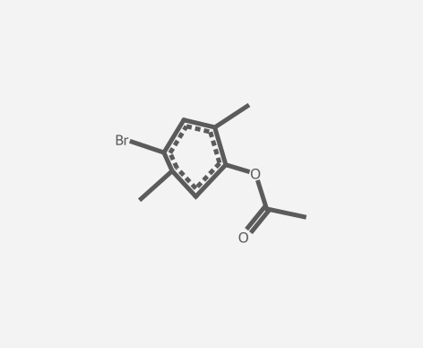 CC(=O)Oc1cc(C)c(Br)cc1C